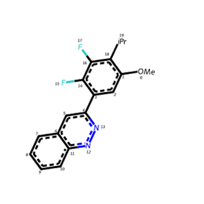 COc1cc(-c2cc3ccccc3nn2)c(F)c(F)c1C(C)C